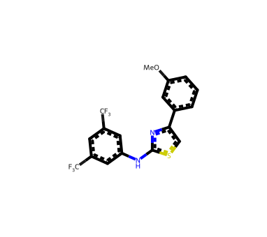 COc1cccc(-c2csc(Nc3cc(C(F)(F)F)cc(C(F)(F)F)c3)n2)c1